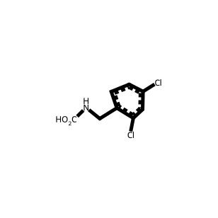 O=C(O)NCc1ccc(Cl)cc1Cl